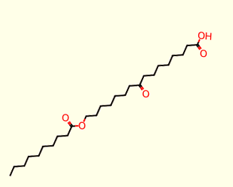 CCCCCCCCCC(=O)OCCCCCCCC(=O)CCCCCCCC(=O)O